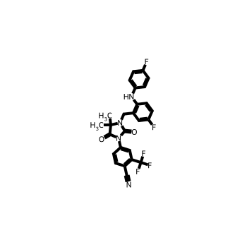 CC1(C)C(=O)N(c2ccc(C#N)c(C(F)(F)F)c2)C(=O)N1Cc1cc(F)ccc1Nc1ccc(F)cc1